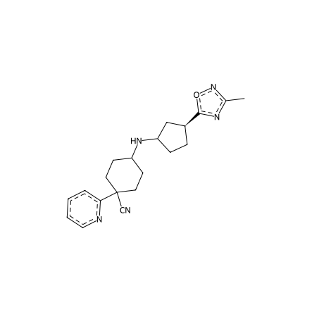 Cc1noc([C@H]2CCC(NC3CCC(C#N)(c4ccccn4)CC3)C2)n1